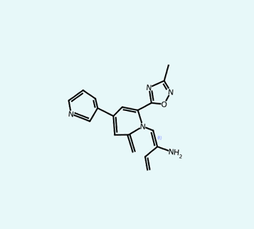 C=C/C(N)=C\N1C(=C)C=C(c2cccnc2)C=C1c1nc(C)no1